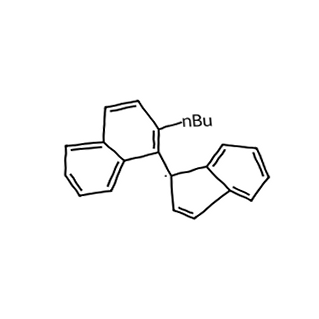 CCCCc1ccc2ccccc2c1[C]1C=Cc2ccccc21